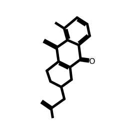 C=C(C)CC1CCC2=C(C1)C(=O)c1cccc(C)c1C2=C